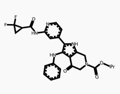 CC(C)OC(=O)N1CC(=O)c2c([nH]c(-c3ccnc(NC(=O)C4CC4(F)F)c3)c2Nc2ccccc2)C1